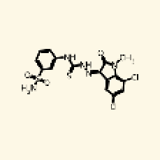 CN1C(=O)C(=NNC(=S)Nc2cccc(S(N)(=O)=O)c2)c2cc(Cl)cc(Cl)c21